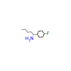 CCCC[C@@H](N)c1ccc(F)cc1